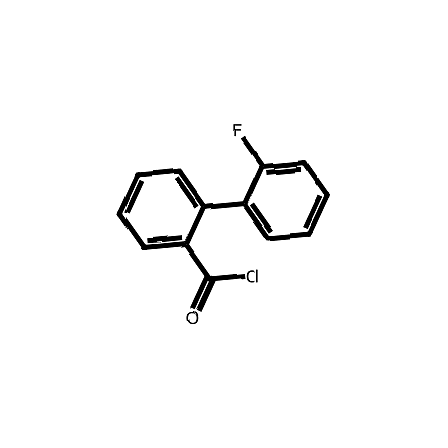 O=C(Cl)c1ccccc1-c1ccccc1F